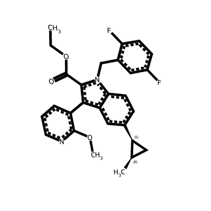 CCOC(=O)c1c(-c2cccnc2OC)c2cc([C@H]3C[C@H]3C)ccc2n1Cc1cc(F)ccc1F